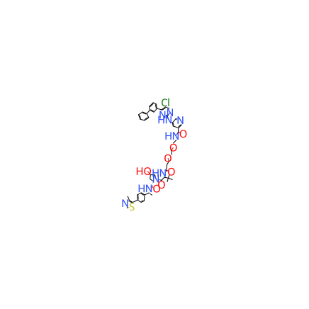 Cc1ncsc1-c1ccc([C@H](C)NC(=O)[C@@H]2C[C@@H](O)CN2C(=O)[C@@H](NC(=O)CCOCCOCCNC(=O)c2cncc(Nc3ncc(Cl)c(-c4cccc(-c5ccccc5)c4)n3)c2)C(C)(C)C)cc1